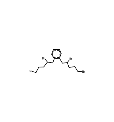 BrCCCC(Br)Cc1ccccc1CC(Br)CCCBr